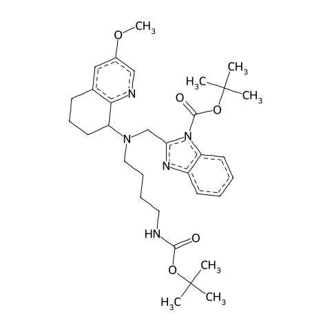 COc1cnc2c(c1)CCCC2N(CCCCNC(=O)OC(C)(C)C)Cc1nc2ccccc2n1C(=O)OC(C)(C)C